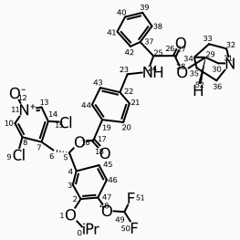 CC(C)Oc1cc([C@H](Cc2c(Cl)c[n+]([O-])cc2Cl)OC(=O)c2ccc(CNC(C(=O)O[C@H]3CN4CCC3CC4)c3ccccc3)cc2)ccc1OC(F)F